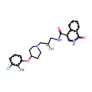 N#Cc1c(Cl)cccc1OC1CCN(C[C@H](O)CNC(=O)c2c[nH]c(=O)c3ccccc23)CC1